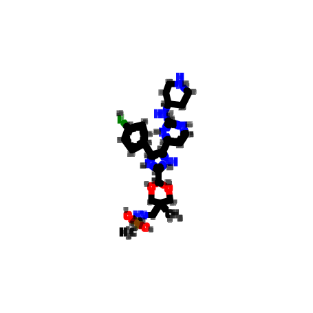 CC1(CNS(C)(=O)=O)COC(c2nc(-c3ccc(F)cc3)c(-c3ccnc(NC4CCNCC4)n3)[nH]2)OC1